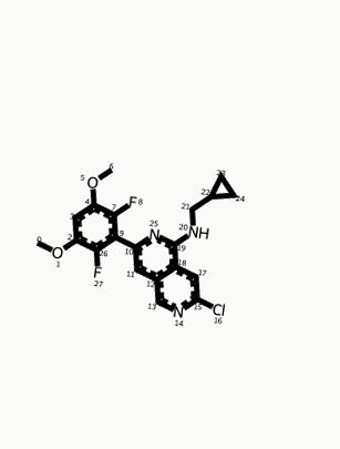 COc1cc(OC)c(F)c(-c2cc3cnc(Cl)cc3c(NCC3CC3)n2)c1F